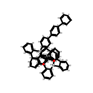 c1ccc(-c2ccc(-c3ccc(N(c4ccc(-c5ccccc5-n5c6ccccc6c6ccccc65)cc4)c4ccccc4-c4cccc5oc6c7ccccc7ccc6c45)cc3)cc2)cc1